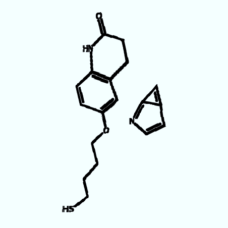 O=C1CCc2cc(OCCCCS)ccc2N1.c1cc2cc-2n1